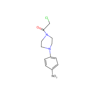 O=C(CCl)N1CCN(c2ccc([N+](=O)[O-])cc2)CC1